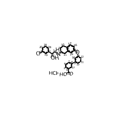 Cl.O=C(O)c1cccc(-c2cccc(Oc3ccc4c(c3)C[C@@H](NC[C@@H](O)c3cccc(Cl)c3)CC4)c2)c1